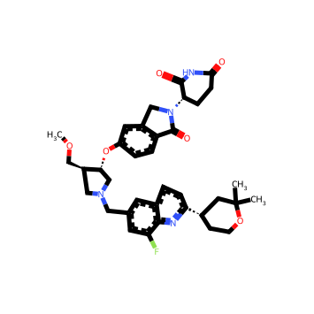 COC[C@@H]1CN(Cc2cc(F)c3nc([C@H]4CCOC(C)(C)C4)ccc3c2)C[C@H]1Oc1ccc2c(c1)CN([C@H]1CCC(=O)NC1=O)C2=O